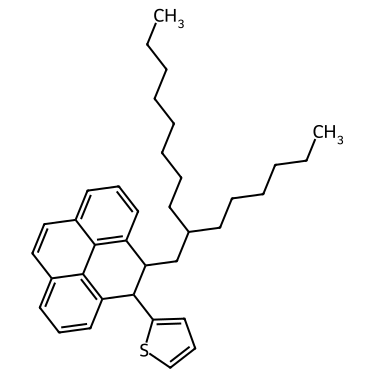 CCCCCCCCC(CCCCCC)CC1c2cccc3ccc4cccc(c4c23)C1c1cccs1